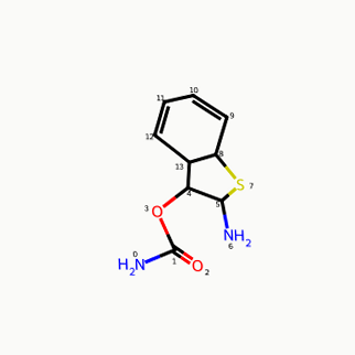 NC(=O)OC1C(N)SC2C=CC=CC21